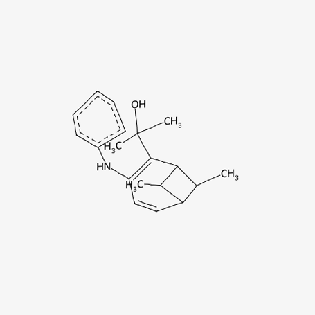 CC1C2C=CC(Nc3ccccc3)=C(C(C)(C)O)C1C2C